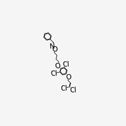 ClC(Cl)=CCOc1cc(Cl)c(OCCCCO/N=C/c2ccccc2)c(Cl)c1